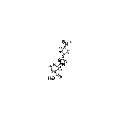 C[N+](=O)c1ccc(-c2nnc(-c3cccc(C(=O)O)c3)o2)cc1